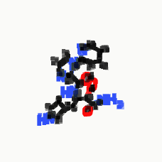 NC(=O)C(=O)C(Cc1cc[nH]c1)NC(=O)c1nccn1-c1ccccn1